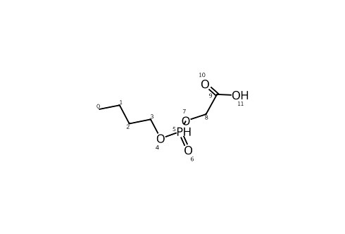 CCCCO[PH](=O)OCC(=O)O